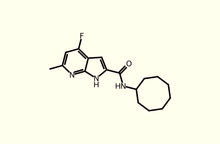 Cc1cc(F)c2cc(C(=O)NC3CCCCCCC3)[nH]c2n1